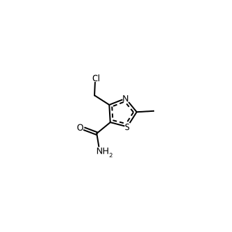 Cc1nc(CCl)c(C(N)=O)s1